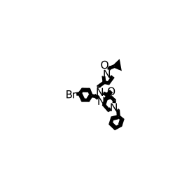 O=C(C1CC1)N1CCC(CN2C(=O)C3(CCN(Cc4ccccc4)CC3)N=C2c2ccc(Br)cc2)C1